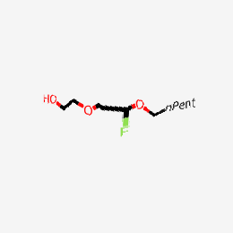 CCCCCCOC(F)COCCO